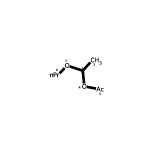 CC[CH]OC(C)OC(C)=O